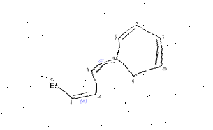 CC/C=C\C=C1\C=CC=CC1